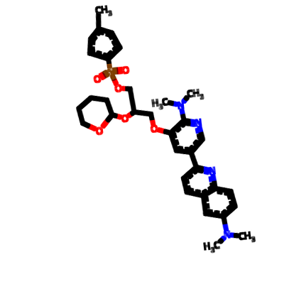 Cc1ccc(S(=O)(=O)OCC(COc2cc(-c3ccc4cc(N(C)C)ccc4n3)cnc2N(C)C)OC2CCCCO2)cc1